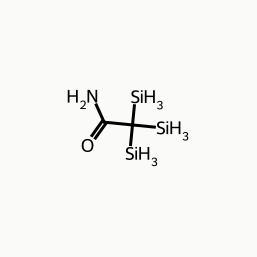 NC(=O)C([SiH3])([SiH3])[SiH3]